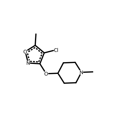 Cc1onc(OC2CCN(C)CC2)c1Cl